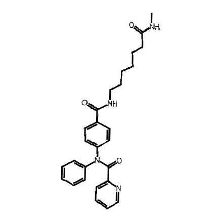 CNC(=O)CCCCCCNC(=O)c1ccc(N(C(=O)c2ccccn2)c2ccccc2)cc1